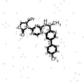 CC(C)C1COC(=O)N1c1ncnc(N[C@@H](C)c2ccc(-c3ccc(C(F)(F)F)cc3)cn2)n1